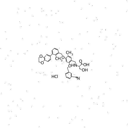 Cc1cc(CN[C@H](CO)C(=O)O)c(OCc2cccc(C#N)c2)cc1OCc1cccc(-c2ccc3c(c2)OCCO3)c1C.Cl